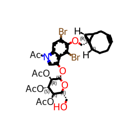 CC(=O)O[C@@H]1[C@@H](OC(C)=O)[C@H](Oc2cn(C(C)=O)c3cc(Br)c(OC[C@]45C6CC#CCC[C@@H]4[C@H]65)c(Br)c23)O[C@H](CO)[C@H]1OC(C)=O